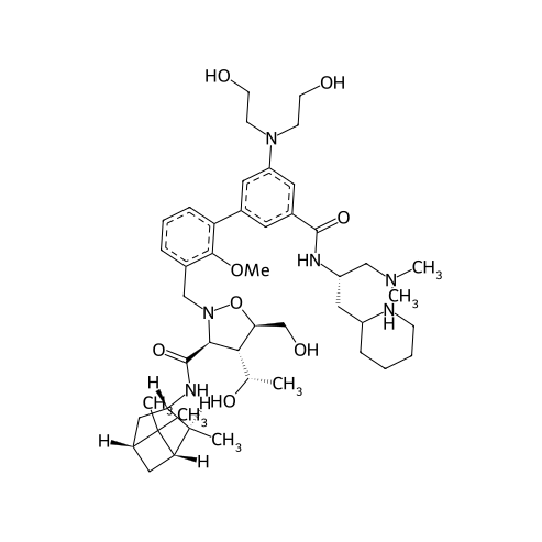 COc1c(CN2O[C@@H](CO)[C@H]([C@H](C)O)[C@H]2C(=O)N[C@H]2C[C@H]3C[C@@H]([C@@H]2C)C3(C)C)cccc1-c1cc(C(=O)N[C@@H](CC2CCCCN2)CN(C)C)cc(N(CCO)CCO)c1